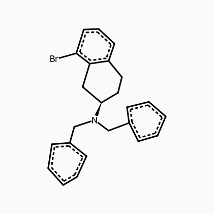 Brc1cccc2c1C[C@H](N(Cc1ccccc1)Cc1ccccc1)CC2